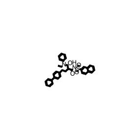 CCN(C(=O)C(CCc1ccc(-c2ccccc2)cc1)C(=O)NS(=O)(=O)c1ccc2ccccc2c1)c1ccccc1